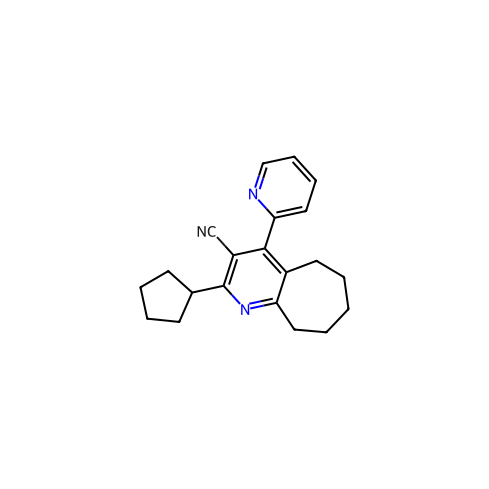 N#Cc1c(C2CCCC2)nc2c(c1-c1ccccn1)CCCCC2